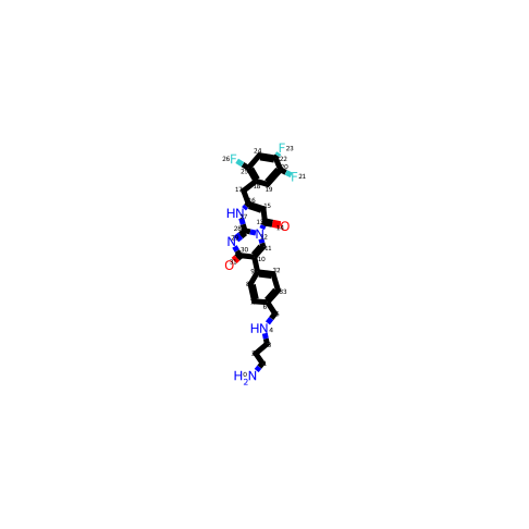 NCCCNCc1ccc(-c2cn3c(=O)cc(Cc4cc(F)c(F)cc4F)[nH]c3nc2=O)cc1